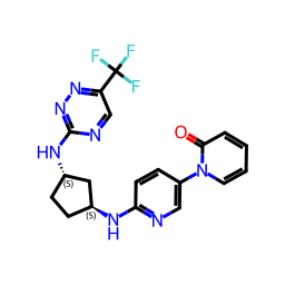 O=c1ccccn1-c1ccc(N[C@H]2CC[C@H](Nc3ncc(C(F)(F)F)nn3)C2)nc1